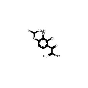 C=C(CCC)C(=O)c1ccc(OC(CC)C(=O)O)c(Cl)c1Cl